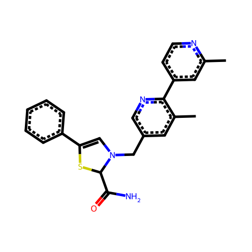 Cc1cc(-c2ncc(CN3C=C(c4ccccc4)SC3C(N)=O)cc2C)ccn1